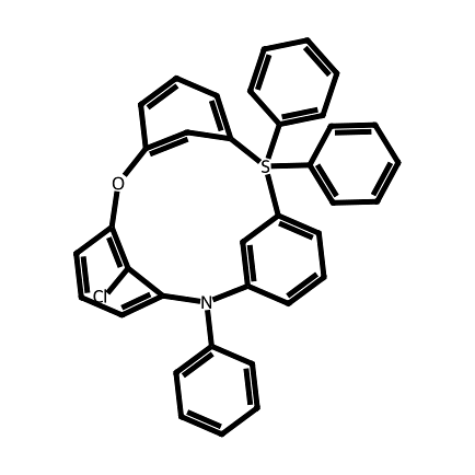 Clc1c2cccc1N(c1ccccc1)c1cccc(c1)S(c1ccccc1)(c1ccccc1)c1cccc(c1)O2